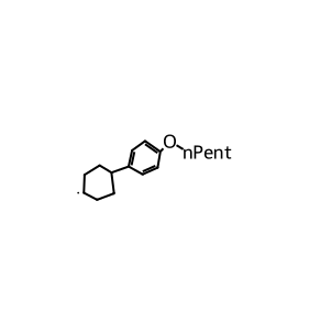 CCCCCOc1ccc(C2CC[CH]CC2)cc1